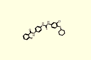 O=C(Nc1ccc(NC(=S)Nc2ccc(SC3CCCCC3)c(Cl)c2)cc1)c1ccccc1F